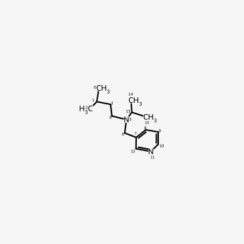 CC(C)CCN(Cc1cccnc1)C(C)C